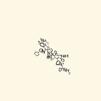 NC(=O)C[n+]1cccc(C(=C2CCNC2=O)C2=C(C(=O)[O-])N3C(=O)[C@@H](NC(=O)C(=NOC4CCCC4)c4csc(N)n4)[C@H]3SC2)c1